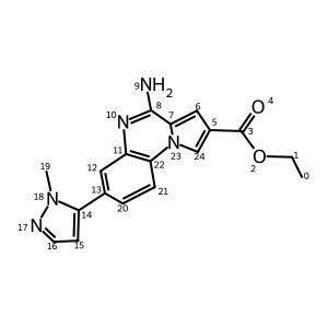 CCOC(=O)c1cc2c(N)nc3cc(-c4ccnn4C)ccc3n2c1